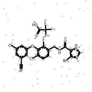 N#Cc1cc(Cl)cc(Oc2c(Cl)ccc(CNC(=O)c3[nH]cnc3Br)c2F)c1.O=C(O)C(F)(F)F